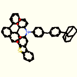 c1ccc(-c2cccc3cccc(-c4ccccc4N(c4ccc(-c5ccc(C67CC8CC(CC(C8)C6)C7)cc5)cc4)c4ccc5sc6ccccc6c5c4)c23)cc1